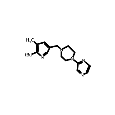 Cc1cc(CN2CCN(c3cnccn3)CC2)cnc1C(C)(C)C